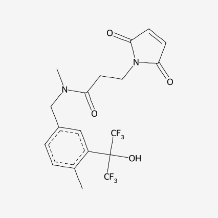 Cc1ccc(CN(C)C(=O)CCN2C(=O)C=CC2=O)cc1C(O)(C(F)(F)F)C(F)(F)F